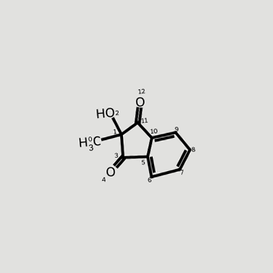 CC1(O)C(=O)c2ccccc2C1=O